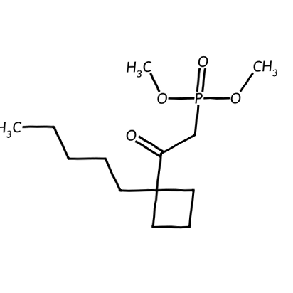 CCCCCC1(C(=O)CP(=O)(OC)OC)CCC1